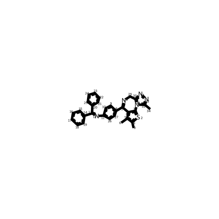 Cc1sc2c(c1C)C(c1ccc(N=C(c3ccccc3)c3ccccc3)cc1)=NCc1nnc(C)n1-2